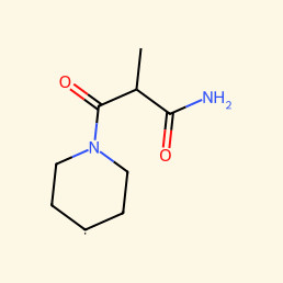 CC(C(N)=O)C(=O)N1CC[CH]CC1